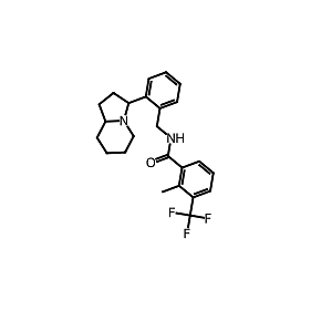 Cc1c(C(=O)NCc2ccccc2C2CCC3CCCCN32)cccc1C(F)(F)F